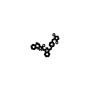 O=C(Nc1nn(Cc2ccc(CN3C(=O)CCC3=O)cc2)c2ccccc12)c1cnc2ccccc2n1